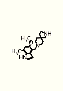 COc1cc(C)c2[nH]ccc2c1CN1CCC2(CCNC2)CC1